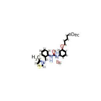 CCCCCCCCCCCCCCOc1cccc(NC(=O)Nc2ccccc2C[n+]2cscc2C)c1.[Br-]